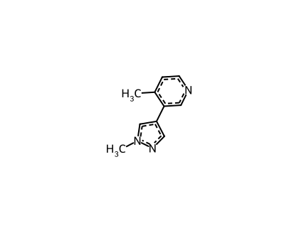 Cc1ccncc1-c1cnn(C)c1